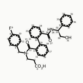 O=C(O)CCN(Cc1ccc(F)cc1)C(=O)c1ccccc1-c1ccccc1C(=O)N[C@H](CO)c1ccccc1